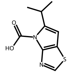 CC(C)c1cc2scnc2n1C(=O)O